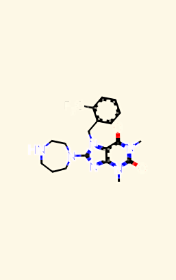 Cn1c(=O)c2c(nc(N3CCCNCC3)n2Cc2ccccc2C(F)(F)F)n(C)c1=O